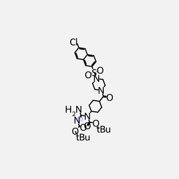 CC(C)(C)OC(=O)/N=C(/N)N(C(=O)OC(C)(C)C)C1CCC(C(=O)N2CCN(S(=O)(=O)c3ccc4cc(Cl)ccc4c3)CC2)CC1